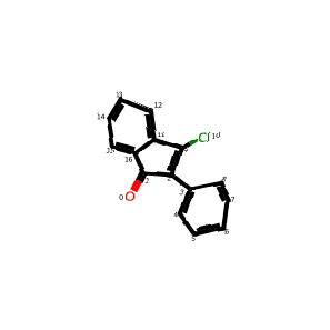 O=C1C(c2ccccc2)=C(Cl)c2ccccc21